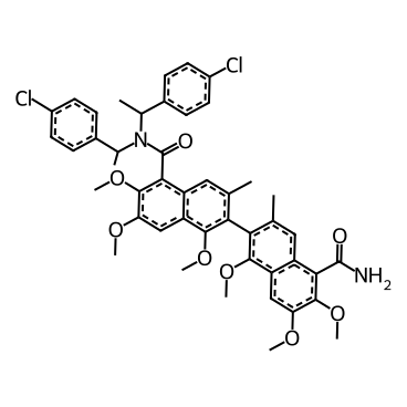 COc1cc2c(OC)c(-c3c(C)cc4c(C(=O)N(C(C)c5ccc(Cl)cc5)C(C)c5ccc(Cl)cc5)c(OC)c(OC)cc4c3OC)c(C)cc2c(C(N)=O)c1OC